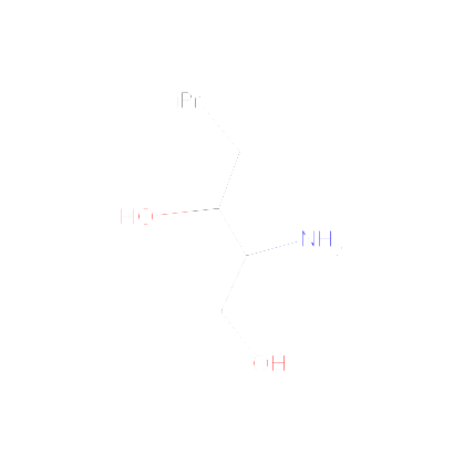 CC(C)CC(O)C(N)CO